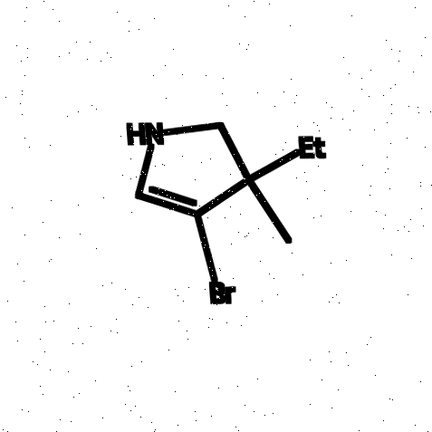 CCC1(C)CNC=C1Br